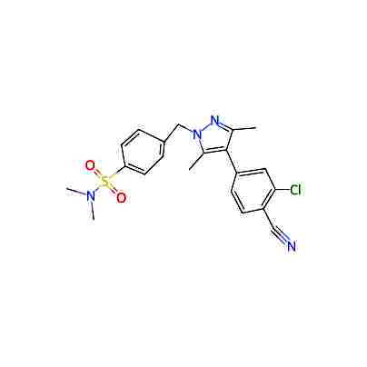 Cc1nn(Cc2ccc(S(=O)(=O)N(C)C)cc2)c(C)c1-c1ccc(C#N)c(Cl)c1